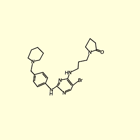 O=C1CCCN1CCCNc1nc(Nc2ccc(CN3CCCCC3)cc2)ncc1Br